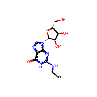 CC(C)CNc1nc2c(ncn2[C@@H]2O[C@H](CO)[C@@H](O)[C@H]2O)c(=O)[nH]1